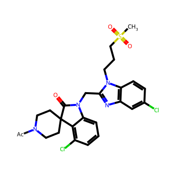 CC(=O)N1CCC2(CC1)C(=O)N(Cc1nc3cc(Cl)ccc3n1CCCS(C)(=O)=O)c1cccc(Cl)c12